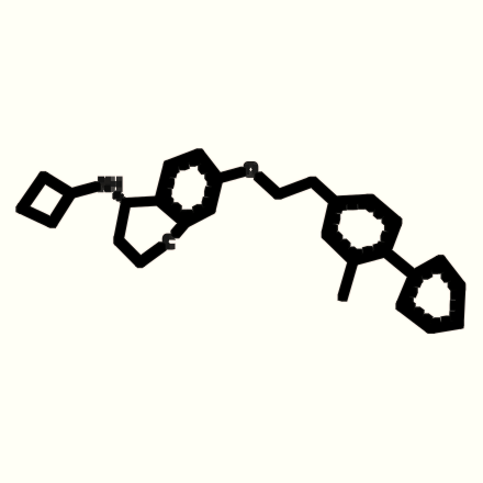 Cc1cc(CCOc2ccc3c(c2)CCC[C@@H]3NC2CCC2)ccc1-c1ccccc1